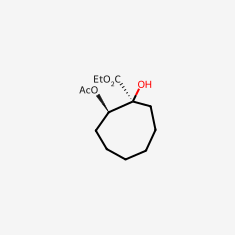 CCOC(=O)[C@]1(O)CCCCCC[C@H]1OC(C)=O